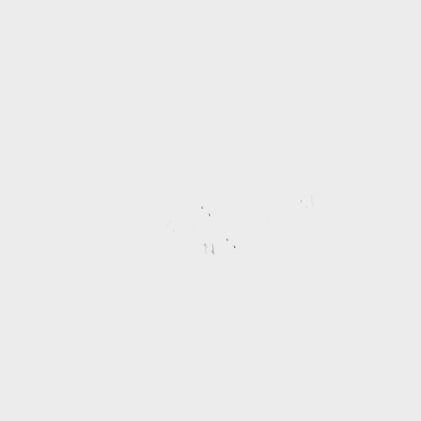 S=C1N=NC(c2ccc(Cl)s2)=N1